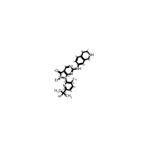 CCn1c(=O)c2cnc(Nc3ccc4c(c3)CNCC4)nc2n1-c1nc(C(C)(C)F)ccc1F